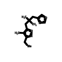 Cc1c(CC(C)(C)C)noc1CC(C)(C)Cc1cocn1